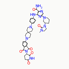 CN1CCN([C@@H]2CCCN(c3cnc(C(N)=O)c(Nc4ccc(N5CCC6(CC5)CCN(c5ccc7c(c5)C(=O)N(C5CCC(=O)NC5=O)C7=O)CC6)cc4)n3)C2)C1=O